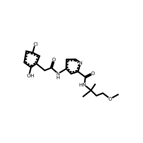 COCCC(C)(C)NC(=O)c1cc(NC(=O)Cc2cc(Cl)ccc2O)ccn1